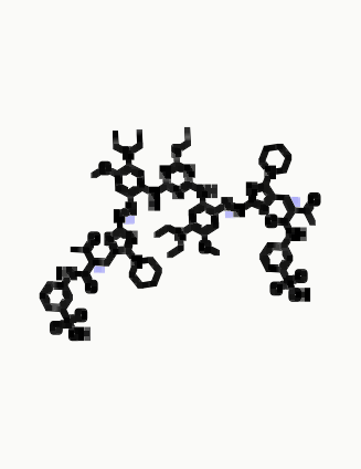 CCSc1nc(Nc2cc(N(CC)CC)c(OC)cc2/N=N/c2nc(N3CCCCC3)c(/C=C(/C(C)=O)C(=O)Nc3cccc(S(=O)(=O)O)c3)s2)nc(Nc2cc(N(CC)CC)c(OC)cc2/N=N/c2nc(N3CCCCC3)c(/C=C(\C(C)=O)C(=O)Nc3cccc(S(=O)(=O)O)c3)s2)n1